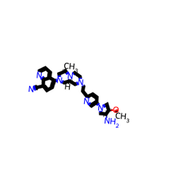 CO[C@@H]1CN(c2ccc(CCN3CCN4[C@@H](C3)CN(c3ccc(C#N)c5ncccc35)C[C@H]4C)nc2)C[C@H]1N